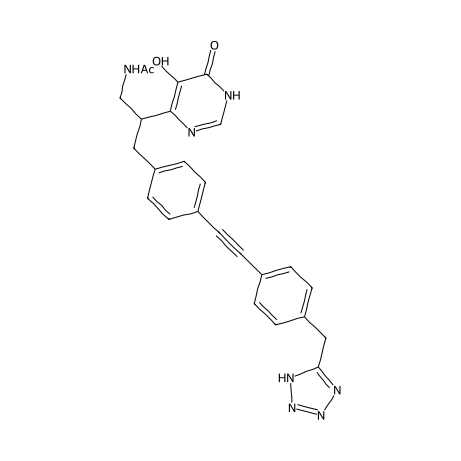 CC(=O)NCC(Cc1ccc(C#Cc2ccc(Cc3nnn[nH]3)cc2)cc1)c1nc[nH]c(=O)c1O